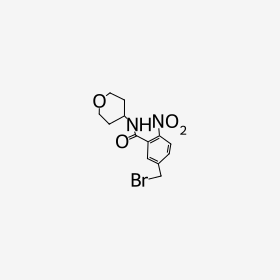 O=C(NC1CCOCC1)c1cc(CBr)ccc1[N+](=O)[O-]